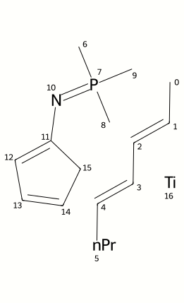 CC=CC=CCCC.CP(C)(C)=NC1=CC=CC1.[Ti]